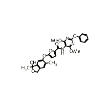 COc1nc(Oc2ccccc2)nc(OC)c1NC(=O)c1ccc(Oc2cc3c(cc2C)COC3(C)C)o1